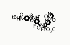 CCOC(=O)[C@H](Cc1ccc(-n2c(=O)ccn(C)c2=O)nc1)NC(=O)c1cc(F)c(NS(=O)(=O)c2ccc(NC(=O)C(C)(C)C)cc2)cc1F